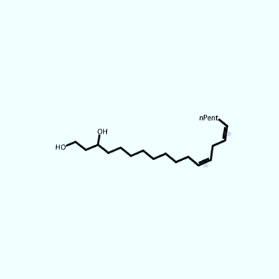 CCCCC/C=C\C/C=C\CCCCCCCCC(O)CCO